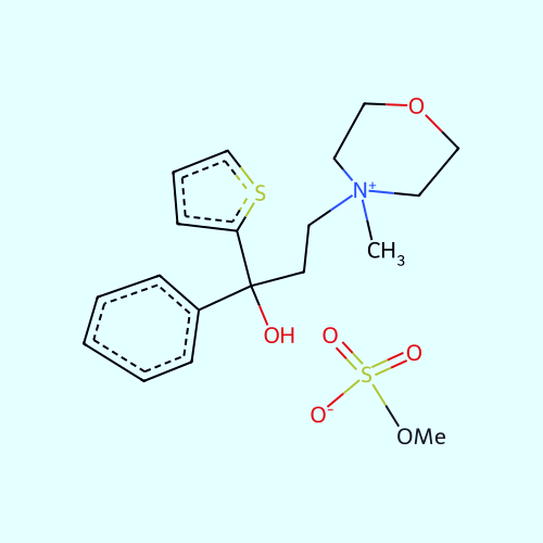 COS(=O)(=O)[O-].C[N+]1(CCC(O)(c2ccccc2)c2cccs2)CCOCC1